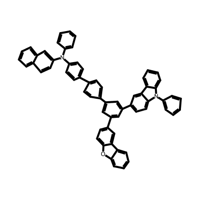 c1ccc(N(c2ccc(-c3ccc(-c4cc(-c5ccc6oc7ccccc7c6c5)cc(-c5ccc6c(c5)c5ccccc5n6-c5ccccc5)c4)cc3)cc2)c2ccc3ccccc3c2)cc1